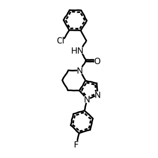 O=C(NCc1ccccc1Cl)N1CCCc2c1cnn2-c1ccc(F)cc1